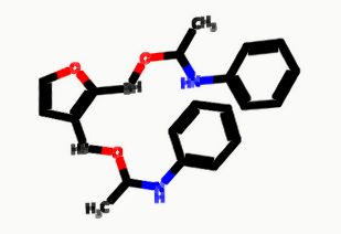 CC(Nc1ccccc1)OBc1ccoc1BOC(C)Nc1ccccc1